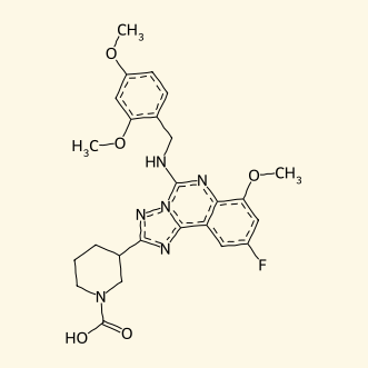 COc1ccc(CNc2nc3c(OC)cc(F)cc3c3nc(C4CCCN(C(=O)O)C4)nn23)c(OC)c1